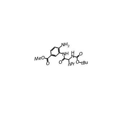 CCCC(NC(=O)OC(C)(C)C)C(=O)Nc1cc(C(=O)OC)ccc1N